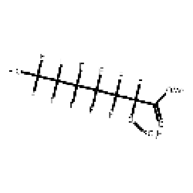 COC(=O)C(F)(OS(=O)(=O)O)C(F)(F)C(F)(F)C(F)(F)C(F)(F)C(F)(F)C(F)(F)F